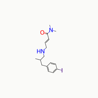 CC(CNC/C=C/C(=O)N(C)C)Cc1ccc(I)cc1